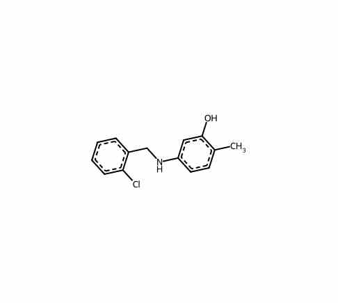 Cc1ccc(NCc2ccccc2Cl)cc1O